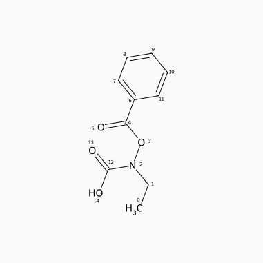 CCN(OC(=O)c1ccccc1)C(=O)O